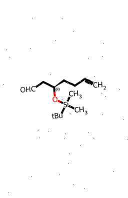 C=CCC[C@H](CC=O)O[Si](C)(C)C(C)(C)C